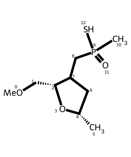 COC[C@H]1O[C@@H](C)CC1CP(C)(=O)S